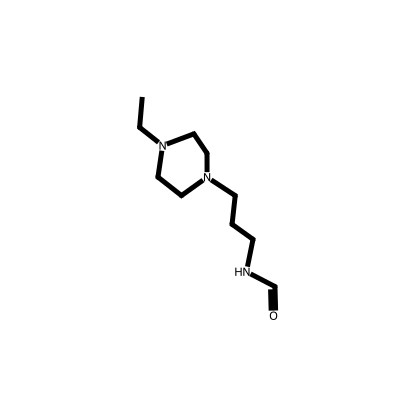 CCN1CCN(CCCNC=O)CC1